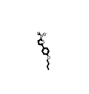 CCCCOc1ccc(-c2ccc([N+](=O)[O-])s2)cc1